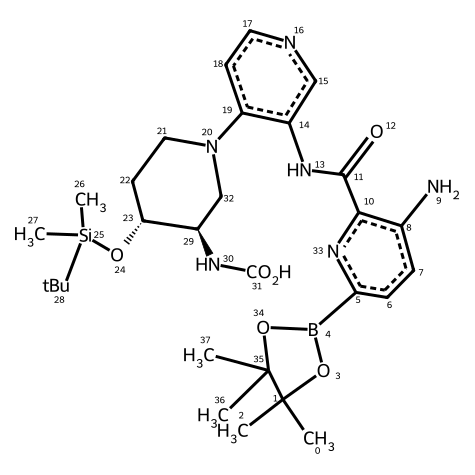 CC1(C)OB(c2ccc(N)c(C(=O)Nc3cnccc3N3CC[C@@H](O[Si](C)(C)C(C)(C)C)[C@H](NC(=O)O)C3)n2)OC1(C)C